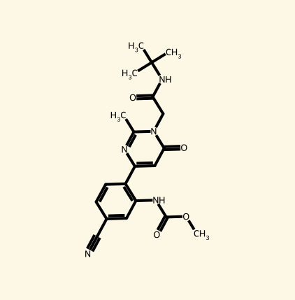 COC(=O)Nc1cc(C#N)ccc1-c1cc(=O)n(CC(=O)NC(C)(C)C)c(C)n1